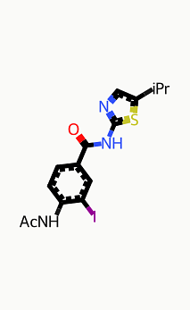 CC(=O)Nc1ccc(C(=O)Nc2ncc(C(C)C)s2)cc1I